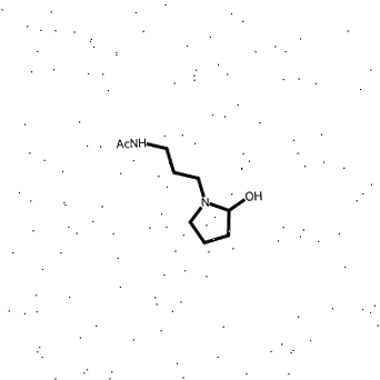 CC(=O)NCCCN1CCCC1O